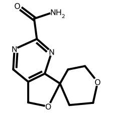 NC(=O)c1ncc2c(n1)C1(CCOCC1)OC2